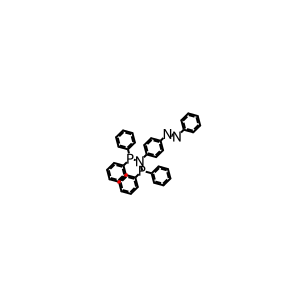 c1ccc(/N=N/c2ccc(N(P(c3ccccc3)c3ccccc3)P(c3ccccc3)c3ccccc3)cc2)cc1